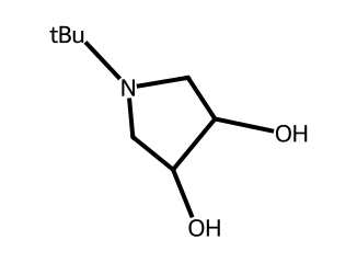 CC(C)(C)N1CC(O)C(O)C1